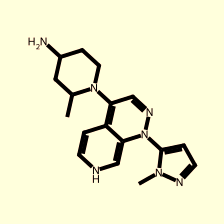 CC1CC(N)CCN1C1=C2C=CNC=C2N(c2ccnn2C)N=C1